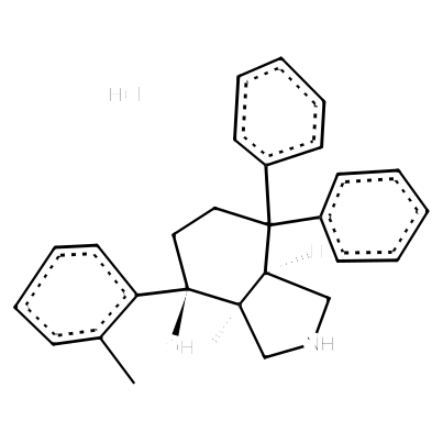 Cc1ccccc1[C@]1(O)CCC(c2ccccc2)(c2ccccc2)[C@H]2CNC[C@H]21.Cl